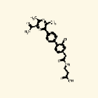 Cc1nc(C)c(-c2ccc(-c3ccc(CC(=O)NCCC(=O)O)cc3Cl)cc2)nc1C(N)=O